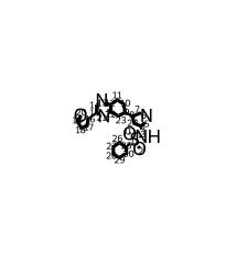 O=S(=O)(Nc1cncc(-c2ccc3ncc(-c4ccco4)nc3c2)c1)c1ccccc1